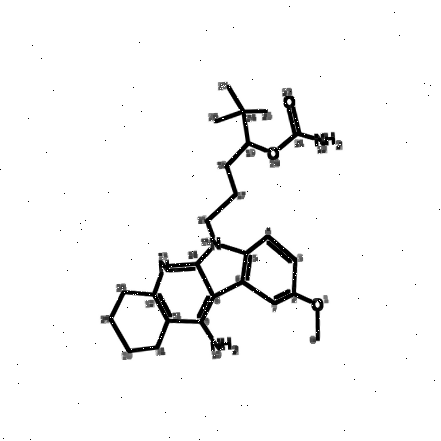 COc1ccc2c(c1)c1c(N)c3c(nc1n2CCCC(OC(N)=O)C(C)(C)C)CCCC3